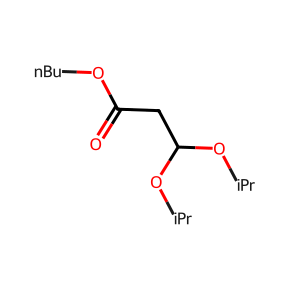 CCCCOC(=O)CC(OC(C)C)OC(C)C